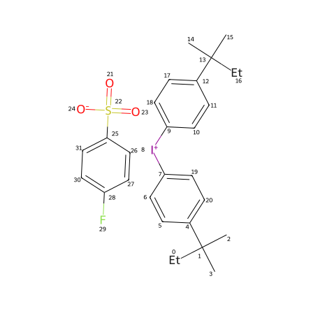 CCC(C)(C)c1ccc([I+]c2ccc(C(C)(C)CC)cc2)cc1.O=S(=O)([O-])c1ccc(F)cc1